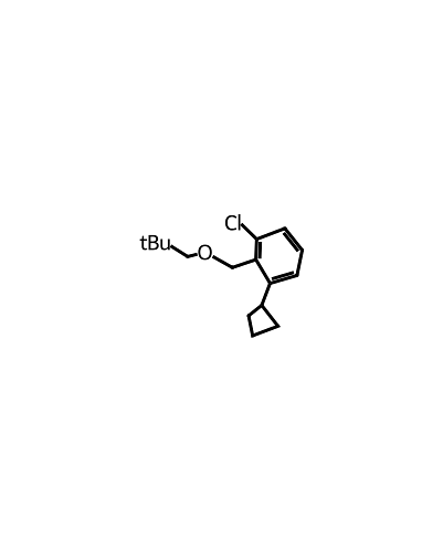 CC(C)(C)COCc1c(Cl)cccc1C1CCC1